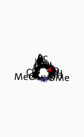 COc1cc2cc(c1Cl)N(C)C(=O)C[C@H](OC(=O)[C@@H](C)N(C)C(C)=O)[C@]1(C)O[C@H]1[C@H](C)[C@@H]1C[C@@](O)(NC(=O)O1)[C@H](OC)/C=C/C=C(\C)C2